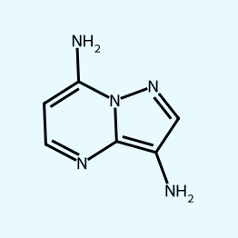 Nc1cnn2c(N)ccnc12